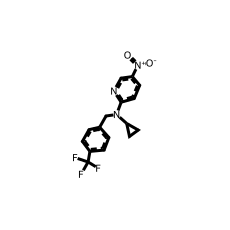 O=[N+]([O-])c1ccc(N(Cc2ccc(C(F)(F)F)cc2)C2CC2)nc1